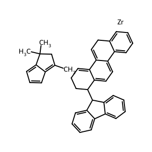 C1=c2c(ccc3c2=CCCC3C2c3ccccc3-c3ccccc32)-c2ccccc2C1.CC1=C2C=CC=C2C(C)(C)C1.[Zr]